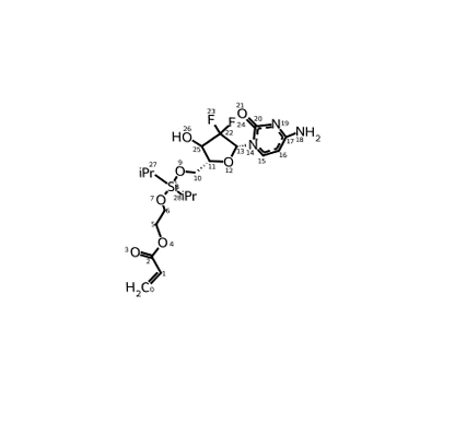 C=CC(=O)OCCO[Si](OC[C@H]1O[C@@H](n2ccc(N)nc2=O)C(F)(F)C1O)(C(C)C)C(C)C